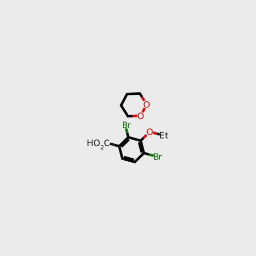 C1CCOOC1.CCOc1c(Br)ccc(C(=O)O)c1Br